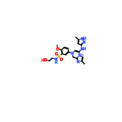 COc1ccc(N2C=C(Nc3cc(C)[nH]n3)[N+]3C=C(C)N=C3C2)cc1S(=O)(=O)NCCO